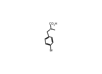 CN(Cc1ccc(Br)cc1)C(=O)O